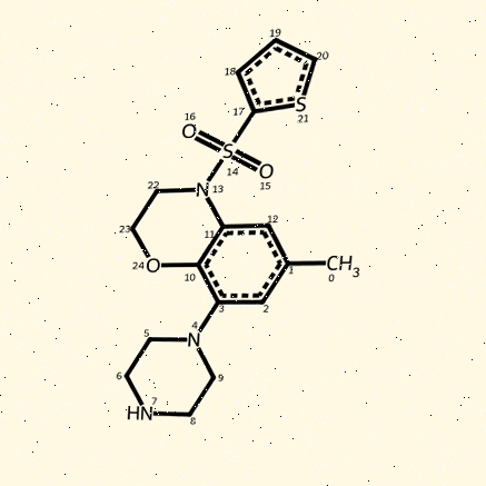 Cc1cc(N2CCNCC2)c2c(c1)N(S(=O)(=O)c1cccs1)CCO2